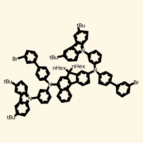 CCCCCCC1(CCCCCC)c2cc(N(c3ccc(-c4cccc(Br)c4)cc3)c3cccc(-n4c5ccc(C(C)(C)C)cc5c5cc(C(C)(C)C)ccc54)c3)ccc2-c2c1cc(N(c1ccc(-c3cccc(Br)c3)cc1)c1cccc(-n3c4ccc(C(C)(C)C)cc4c4cc(C(C)(C)C)ccc43)c1)c1ccccc21